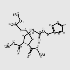 CC(C)(C)OC(=O)CCC(CCC(=O)OC(C)(C)C)(CCC(=O)OC(C)(C)C)NC(=O)OCc1ccccc1